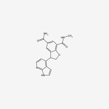 CNC(=O)c1cc(C(N)=O)cc2c1OCC2c1ccnc2[nH]ccc12